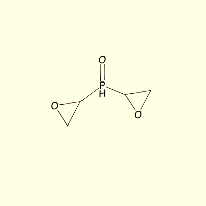 O=[PH](C1CO1)C1CO1